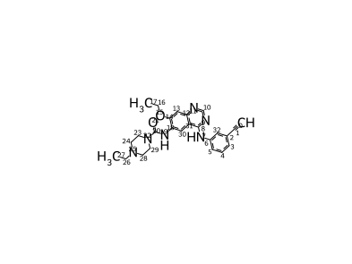 C#Cc1cccc(Nc2ncnc3cc(OCC)c(NC(=O)N4CCN(CC)CC4)cc23)c1